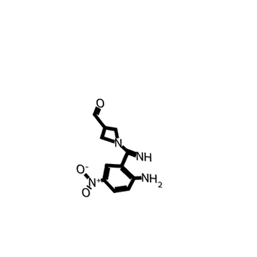 N=C(c1cc([N+](=O)[O-])ccc1N)N1CC(C=O)C1